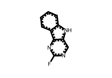 Fc1ncc2[nH]c3ccccc3c2n1